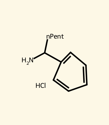 CCCCCC(N)c1ccccc1.Cl